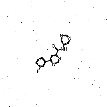 O=C(Nc1cncnc1)c1cc(-c2cccc(F)c2)ncn1